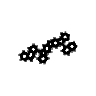 c1ccc2c(-n3c4ccccc4c4cc5sc6cc7c(cc6c5cc43)c3ccccc3n7-c3cccc4c3ccc3ccccc34)cccc2c1